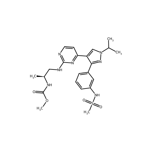 COC(=O)N[C@@H](C)CNc1nccc(-c2cn(C(C)C)nc2-c2cccc(NS(C)(=O)=O)c2)n1